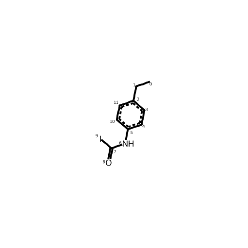 CCc1ccc(NC(=O)I)cc1